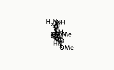 CC(=O)O.COCCNC(=O)c1ccc(F)c(C(OC)C(=O)NCc2ccc(C(=N)N)cc2)c1F